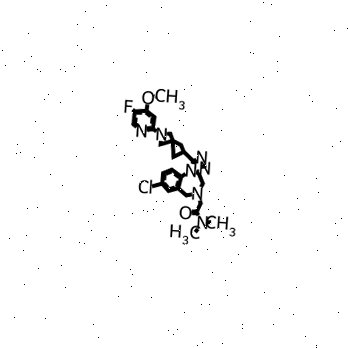 COc1cc(N2CC3(CC(c4nnc5n4-c4ccc(Cl)cc4CN(CC(=O)N(C)C)C5)C3)C2)ncc1F